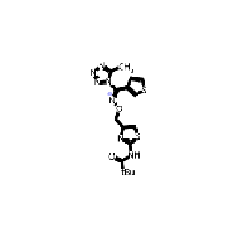 Cc1nnnn1/C(=N/OCC1CSC(NC(=O)C(C)(C)C)=N1)c1ccsc1